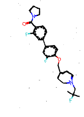 CC(C)(F)CN1CCC(COc2ccc(-c3ccc(C(=O)N4CCCC4)c(F)c3)cc2F)CC1